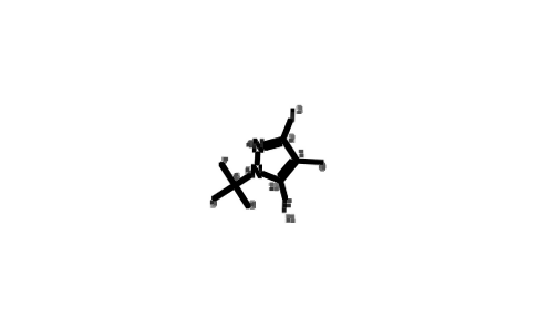 Cc1c(I)nn(C(C)(C)C)c1F